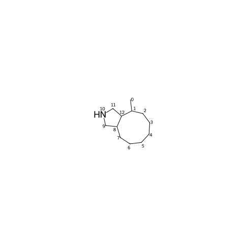 CC1CCCCCCC2CNCC12